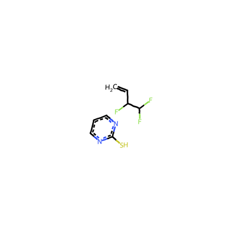 C=CC(F)C(F)F.Sc1ncccn1